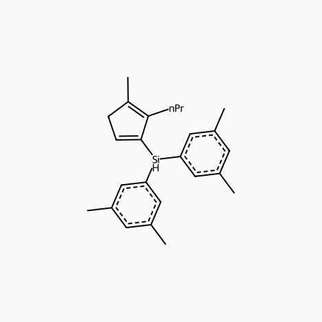 CCCC1=C(C)CC=C1[SiH](c1cc(C)cc(C)c1)c1cc(C)cc(C)c1